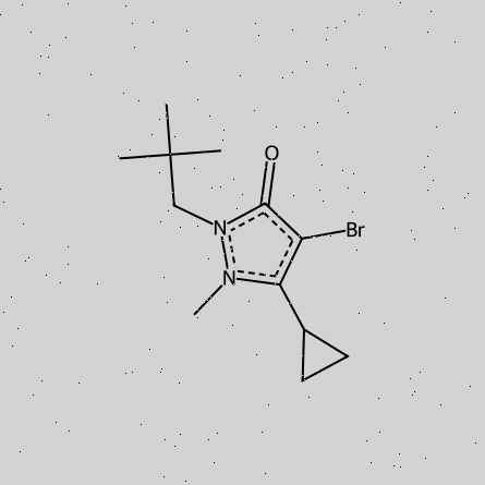 Cn1c(C2CC2)c(Br)c(=O)n1CC(C)(C)C